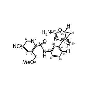 COCc1cc(C#N)cnc1C(=O)Nc1ccc(Cl)c([C@@]2(CF)N=C(N)O[C@@H]3C[C@@H]32)c1